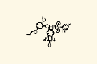 CCCOc1ccc(OC)c(Oc2cc3c(cc2NS(=O)(=O)c2cn(C)cn2)n(C)c(=O)n3C)c1